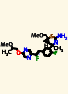 COC[C@]12C[C@H]1[C@@](C)(c1cc(/C=C(\F)c3cnc(OCC(C)OC)cn3)ccc1F)N=C(N)S2